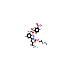 C=CCOC(=O)NC(CCCC)c1cccc(NS(=O)(=O)c2cccc([N+](=O)[O-])c2)c1